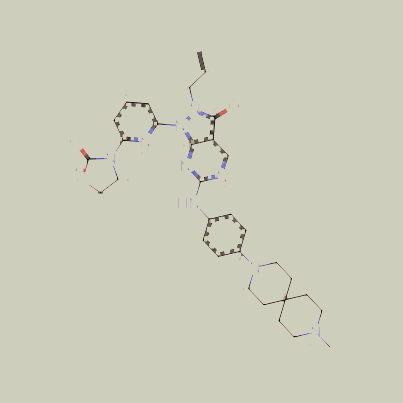 C=CCn1c(=O)c2cnc(Nc3ccc(N4CCC5(CCN(C)CC5)CC4)cc3)nc2n1-c1cccc(N2CCOC2=O)n1